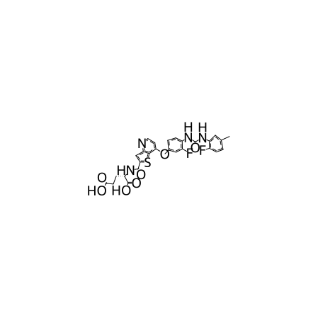 Cc1ccc(F)c(NC(=O)Nc2ccc(Oc3ccnc4cc(C(=O)N[C@@H](CCC(=O)O)C(=O)O)sc34)cc2F)c1